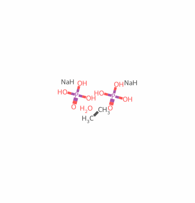 CC.O.O=P(O)(O)O.O=P(O)(O)O.[NaH].[NaH]